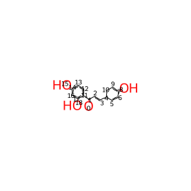 O=C(C=CC1C=CC(O)=CC1)c1ccc(O)cc1O